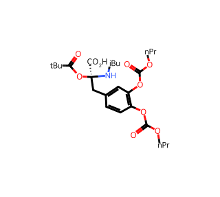 CCCOC(=O)Oc1ccc(C[C@](NC(C)CC)(OC(=O)C(C)(C)C)C(=O)O)cc1OC(=O)OCCC